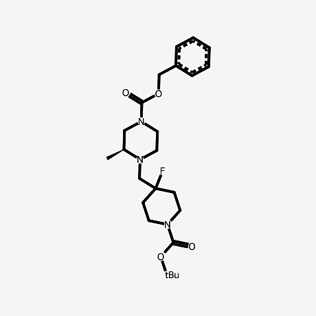 C[C@H]1CN(C(=O)OCc2ccccc2)CCN1CC1(F)CCN(C(=O)OC(C)(C)C)CC1